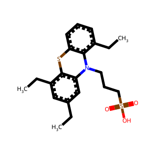 CCc1cc(CC)c2c(c1)N(CCCS(=O)(=O)O)c1c(CC)cccc1S2